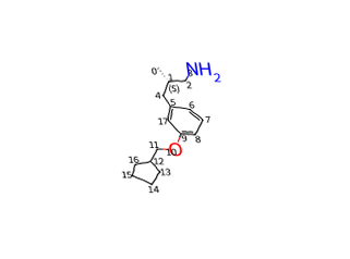 C[C@H](CN)Cc1cccc(OCC2CCCC2)c1